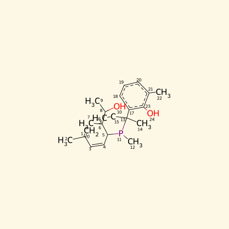 C=C(C)/C=C\C(C(C)C(C)O)P(C)C(C)(CC)c1cccc(C)c1O